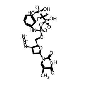 Cc1cn([C@H]2C[C@@H](N=[N+]=[N-])[C@@H](COP(=O)(Nc3ccccc3)OP(=O)(O)C(F)(F)P(=O)(O)O)O2)c(=O)[nH]c1=O